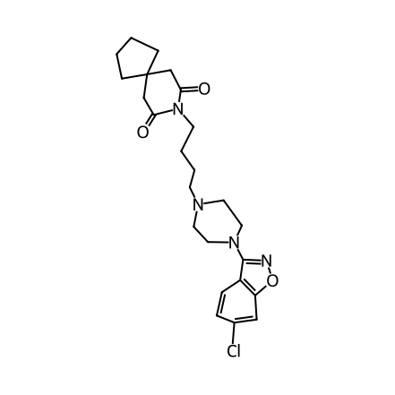 O=C1CC2(CCCC2)CC(=O)N1CCCCN1CCN(c2noc3cc(Cl)ccc23)CC1